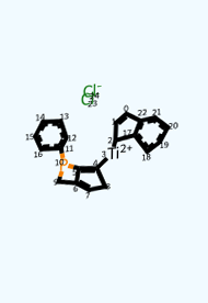 C1=C[CH]([Ti+2][C]2=C3C(=CC2)CP3c2ccccc2)c2ccccc21.[Cl-].[Cl-]